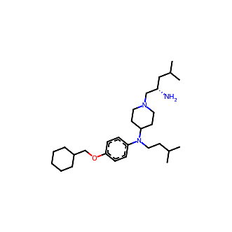 CC(C)CCN(c1ccc(OCC2CCCCC2)cc1)C1CCN(C[C@@H](N)CC(C)C)CC1